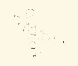 CCC(C(=O)OC)[N+]1(Cc2ccccc2)C(C)=Nc2c(Oc3ccc(C(=N)N)cc3O)nc(Oc3cccc(C(=O)N(C)C)c3)nc21